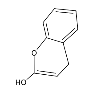 OC1=CCc2ccccc2O1